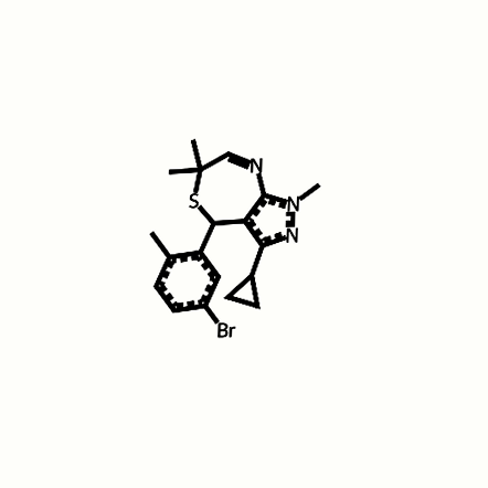 Cc1ccc(Br)cc1C1SC(C)(C)C=Nc2c1c(C1CC1)nn2C